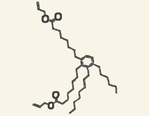 C=CCOC(=O)CCCCCCCc1ccc(CCCCCC)c(CC=CCCCCC)c1CCCCCCCC(=O)OCC=C